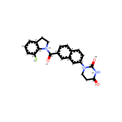 O=C1CCN(c2ccc3ccc(C(=O)N4CCc5cccc(F)c54)cc3c2)C(=O)N1